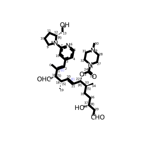 C/C(=C\c1ccnc(N2CCC[C@@H]2CO)c1)[C@@H](C=O)[C@@H](C)/C=C/[C@H](OC(=O)N1CCN(C)CC1)[C@@H](C)CC[C@@H](O)CC=O